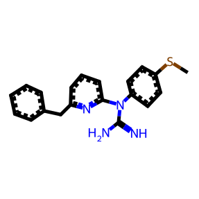 CSc1ccc(N(C(=N)N)c2cccc(Cc3ccccc3)n2)cc1